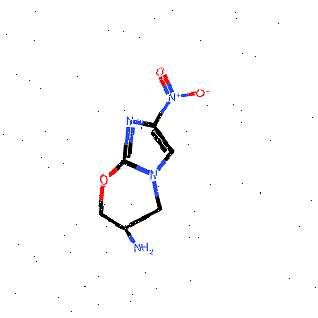 NC1COc2nc([N+](=O)[O-])cn2C1